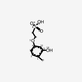 [CH2]c1ccc(OCCS(=O)(=O)O)cc1O